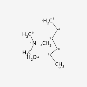 CN(C)C.O.[CH2]CCCCC